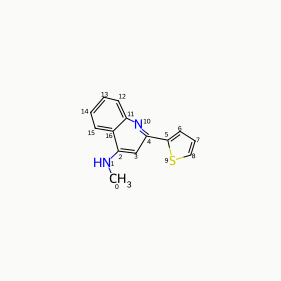 CNc1cc(-c2cccs2)nc2ccccc12